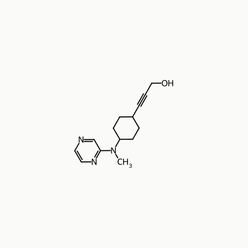 CN(c1cnccn1)C1CCC(C#CCO)CC1